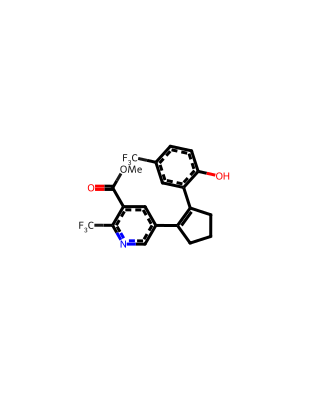 COC(=O)c1cc(C2=C(c3cc(C(F)(F)F)ccc3O)CCC2)cnc1C(F)(F)F